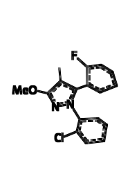 COc1nn(-c2ccccc2Cl)c(-c2ccccc2F)c1C